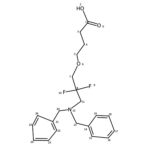 O=C(O)CCCOCC(F)(F)CN(Cc1ccccc1)Cc1ccccc1